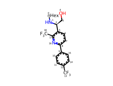 CCCCCCN[C@@H](CO)c1ccc(-c2ccc(C(F)(F)F)cc2)nc1C(F)(F)F